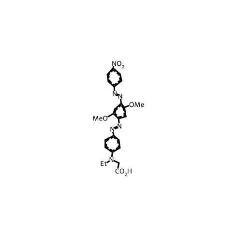 CCN(CC(=O)O)c1ccc(N=Nc2cc(OC)c(N=Nc3ccc([N+](=O)[O-])cc3)cc2OC)cc1